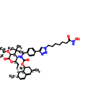 C[C@H]1C=C2C=C[C@H](C)[C@H](CC[C@@H]3C[C@H](C(C)(C)C)C(O[SiH](C)C)C(=O)O3)[C@H]2[C@@H](OC(=O)NCc2ccc(-c3cn(CCCCCCC(=O)NO)nn3)cc2)C1